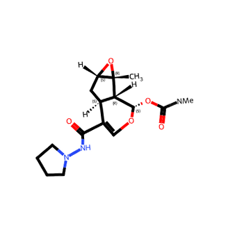 CNC(=O)O[C@@H]1OC=C(C(=O)NN2CCCC2)[C@H]2C[C@@H]3O[C@]3(C)[C@H]12